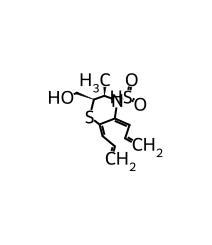 C=C/C=C1/S[C@@H](CO)[C@@H](C)N([SH](=O)=O)/C1=C/C=C